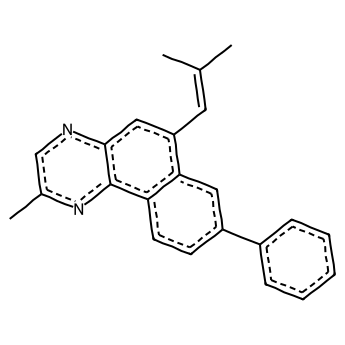 CC(C)=Cc1cc2ncc(C)nc2c2ccc(-c3ccccc3)cc12